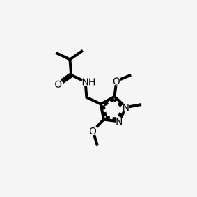 COc1nn(C)c(OC)c1CNC(=O)C(C)C